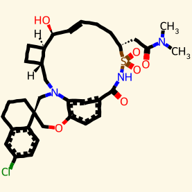 CN(C)C(=O)C[C@H]1CC/C=C/[C@H](O)[C@@H]2CC[C@H]2CN2C[C@@]3(CCCc4cc(Cl)ccc43)COc3ccc(cc32)C(=O)NS1(=O)=O